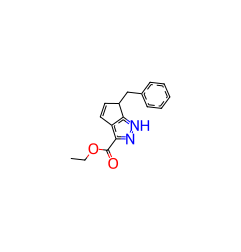 CCOC(=O)c1n[nH]c2c1C=CC2Cc1ccccc1